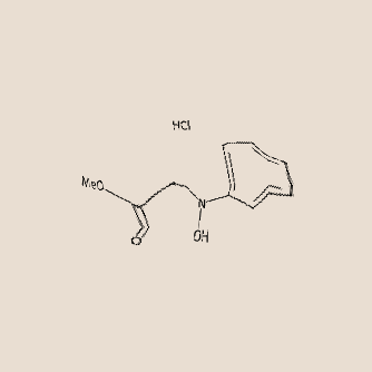 COC(=O)CN(O)c1ccccc1.Cl